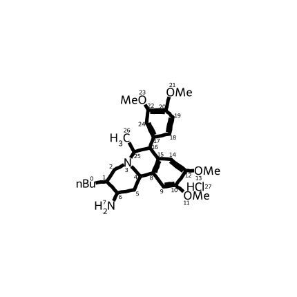 CCCCC1CN2C(CC1N)c1cc(OC)c(OC)cc1C(c1ccc(OC)c(OC)c1)C2C.Cl